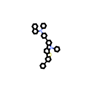 c1ccc(-c2ccc3sc4c(ccc5c6cc(-c7ccc(N(c8ccccc8)c8cccc9ccccc89)cc7)ccc6n(-c6ccccc6)c54)c3c2)cc1